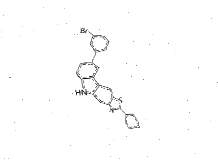 Brc1cccc(-c2ccc3[nH]c4cc5nc(-c6ccccc6)sc5cc4c3c2)c1